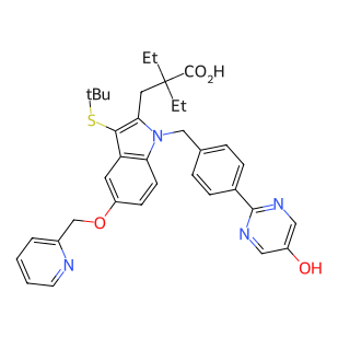 CCC(CC)(Cc1c(SC(C)(C)C)c2cc(OCc3ccccn3)ccc2n1Cc1ccc(-c2ncc(O)cn2)cc1)C(=O)O